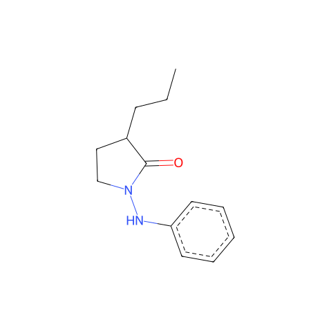 CCCC1CCN(Nc2ccccc2)C1=O